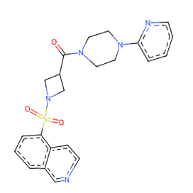 O=C(C1CN(S(=O)(=O)c2cccc3cnccc23)C1)N1CCN(c2ccccn2)CC1